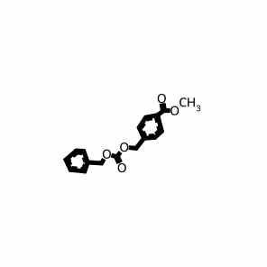 COC(=O)c1ccc(COC(=O)OCc2ccccc2)cc1